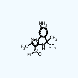 CC[S+]([O-])c1c(C(F)(F)F)nn2c1NC(C(F)(F)F)(C(F)(F)F)c1ccc(N)cc1-2